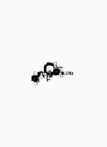 COC(=O)Nc1ccc2c(c1)NC(=O)C[C@@H](C)CCC[C@H](N1CC[C@H](c3c(F)ccc(Cl)c3F)OC1=O)c1nc-2c[nH]1